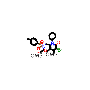 COC(=O)CN(Cc1c(C(=O)OC)c(C)c(Br)c(=O)n1C1CCCCC1)S(=O)(=O)c1ccc(C)cc1